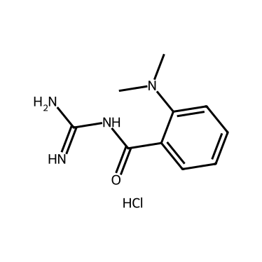 CN(C)c1ccccc1C(=O)NC(=N)N.Cl